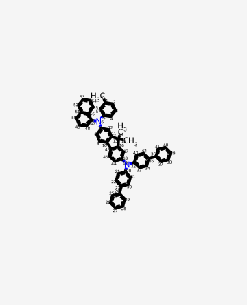 Cc1cccc(N(c2ccc3c(c2)C(C)(C)c2cc(N(c4ccc(-c5ccccc5)cc4)c4ccc(-c5ccccc5)cc4)ccc2-3)c2cccc3ccccc23)c1